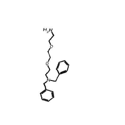 NCCOCCOCCN(Cc1ccccc1)Cc1ccccc1